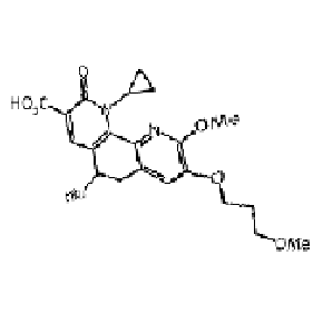 COCCCOc1cc2c(nc1OC)-c1c(cc(C(=O)O)c(=O)n1C1CC1)C(C(C)(C)C)C2